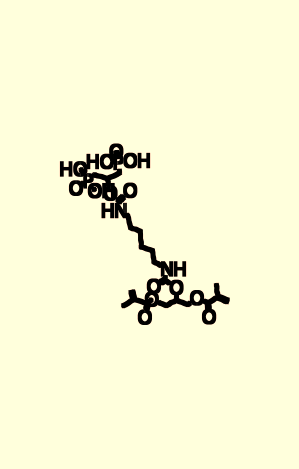 C=C(C)C(=O)OCC(COC(=O)C(=C)C)OC(=O)NCCCCCCNC(=O)OC(CP(=O)(O)O)CP(=O)(O)O